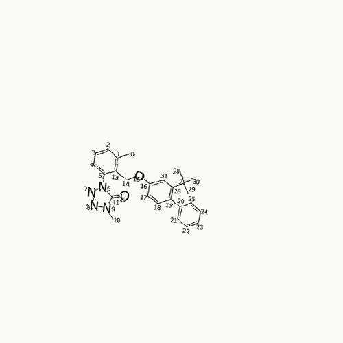 Cc1cccc(-n2nnn(C)c2=O)c1COc1ccc(-c2ccccc2)c(C(C)(C)C)c1